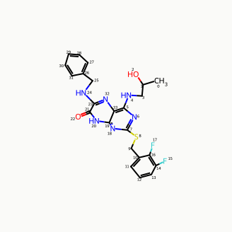 CC(O)CNc1nc(SCc2cccc(F)c2F)nc2[nH]c(=O)c(NCc3ccccc3)nc12